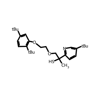 CC(C)(C)c1ccc(C(C)(S)COCCOc2cc(C(C)(C)C)ccc2C(C)(C)C)nc1